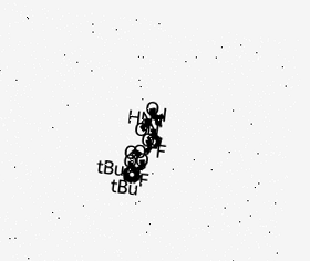 CC(C)(C)c1cc(C(C)(C)C)c2c(c1F)COP(=O)(OCC1OC(n3cc(I)c(=O)[nH]c3=O)CC1F)O2